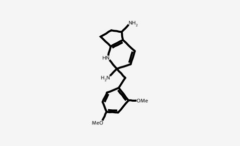 COc1ccc(CC2(N)C=CC3=C(CCC3N)N2)c(OC)c1